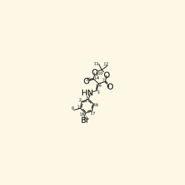 Cc1cc(NC=C2C(=O)OC(C)(C)OC2=O)ccc1Br